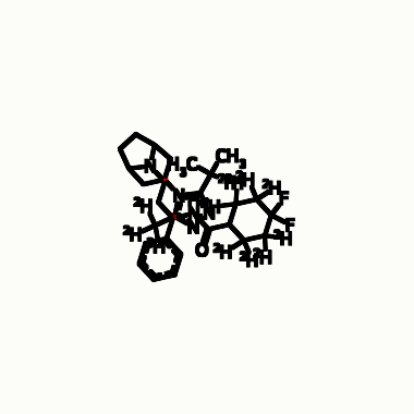 [2H]C([2H])([2H])c1nnc(C([2H])(C)C)n1C1CC2CCC(C1)N2CCC(NC(=O)C1C([2H])([2H])C([2H])([2H])C(F)(F)C([2H])([2H])C1([2H])[2H])c1ccccc1